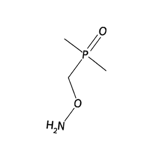 CP(C)(=O)CON